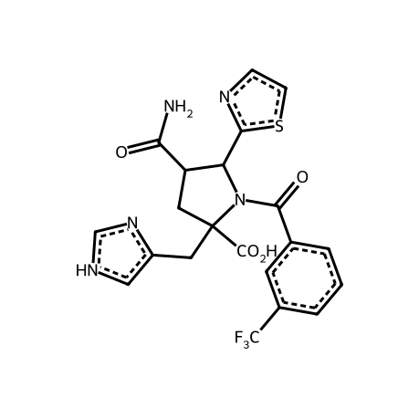 NC(=O)C1CC(Cc2c[nH]cn2)(C(=O)O)N(C(=O)c2cccc(C(F)(F)F)c2)C1c1nccs1